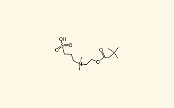 CC(C)(C)CC(=O)OCC[N+](C)(C)CCCS(=O)(=O)O